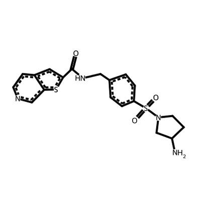 NC1CCN(S(=O)(=O)c2ccc(CNC(=O)c3cc4ccncc4s3)cc2)C1